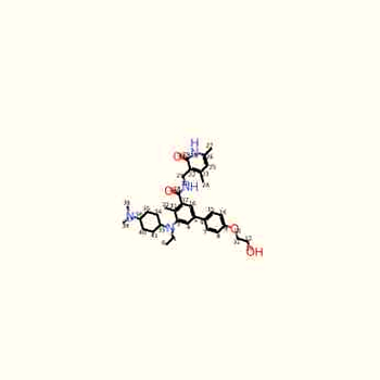 CCN(c1cc(-c2ccc(OCCO)cc2)cc(C(=O)NCc2c(C)cc(C)[nH]c2=O)c1C)C1CCC(N(C)C)CC1